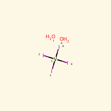 O.O.[I][V]([I])([I])[I]